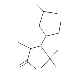 CCC(CC(C)C)C1C(C)C(=O)OC1(C)C